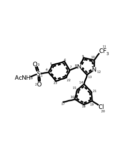 CC(=O)NS(=O)(=O)c1ccc(-n2cc(C(F)(F)F)nc2-c2cc(C)cc(Cl)c2)cc1